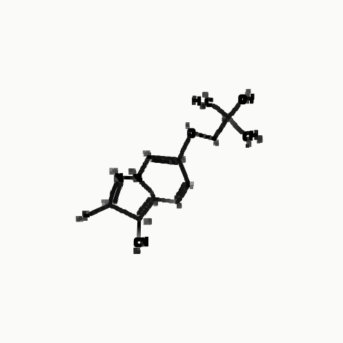 CC(C)(O)COc1ccc2c(C#N)c(F)nn2c1